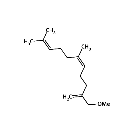 C=C(CCC=C(C)CCC=C(C)C)COC